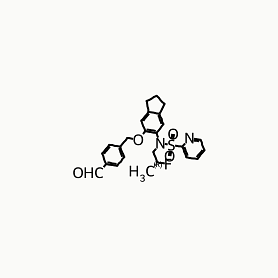 C[C@@H](F)CN(c1cc2c(cc1OCc1ccc(C=O)cc1)CCC2)S(=O)(=O)c1ccccn1